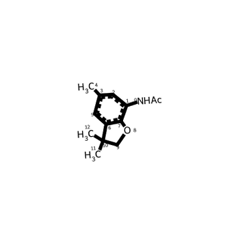 CC(=O)Nc1cc(C)cc2c1OCC2(C)C